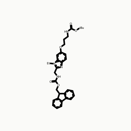 CCn1c(CNC(=O)OCC2c3ccccc3-c3ccccc32)nc2ccc(OCCCNC(=O)OC(C)(C)C)cc21